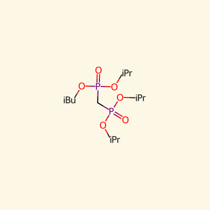 CCC(C)OP(=O)(CP(=O)(OC(C)C)OC(C)C)OC(C)C